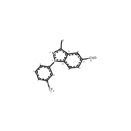 Cc1nn(-c2cccc(C(F)(F)F)c2)c2ccc(C=O)cc12